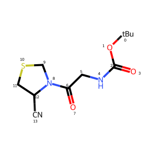 CC(C)(C)OC(=O)NCC(=O)N1CSCC1C#N